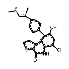 C[C@H](CN(C)C)c1ccc(-c2c(O)cc(Cl)c3[nH]c(=O)c4sccc4c23)cc1